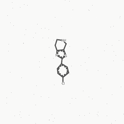 Clc1ccc(-c2nc3c(s2)CNCC3)cc1